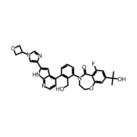 CC(C)(O)c1cc(F)c2c(c1)OCCN(c1cccc(-c3ccnc4[nH]c(-c5cn(C6COC6)cn5)cc34)c1CO)C2=O